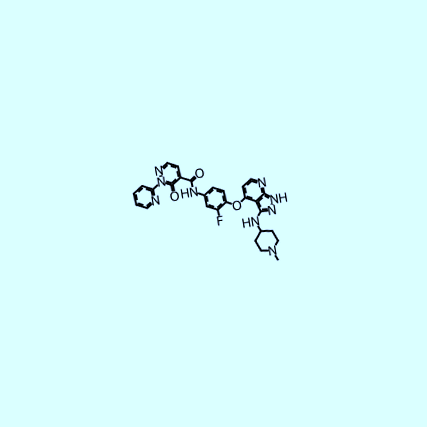 CN1CCC(Nc2n[nH]c3nccc(Oc4ccc(NC(=O)c5ccnn(-c6ccccn6)c5=O)cc4F)c23)CC1